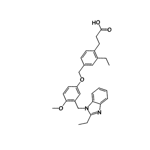 CCc1cc(COc2ccc(OC)c(Cn3c(CC)nc4ccccc43)c2)ccc1CCC(=O)O